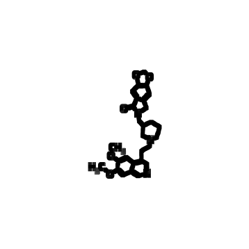 COc1cc2cncc(CCN3CCCC(CN4Cc5cc6c(cc5C4=O)OCO6)C3)c2cc1OC